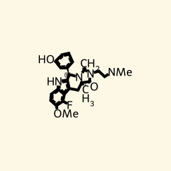 C=C1N(CCNC)C(=O)[C@]2(C)Cc3c([nH]c4ccc(OC)c(F)c34)[C@@H](c3cccc(O)c3)N12